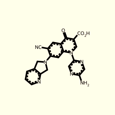 N#Cc1cc2c(=O)c(C(=O)O)cn(-c3cnc(N)cn3)c2cc1N1Cc2cccnc2C1